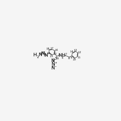 [N-]=[N+]=NC[C@H](NCCCc1ccccc1)c1cccc(N=NN)c1